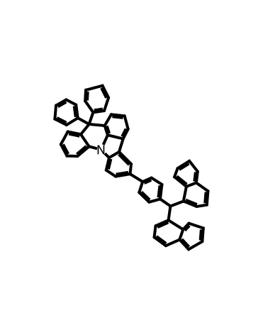 c1ccc(C2(c3ccccc3)c3ccccc3-n3c4ccc(-c5ccc(C(c6cccc7ccccc67)c6cccc7ccccc67)cc5)cc4c4cccc2c43)cc1